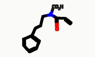 C=CC(=O)N(CCCc1ccccc1)C(=O)O